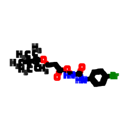 CC(C)(C)[Si](C)(C)OCCC(=O)ONC(=O)Nc1ccc(Br)cc1